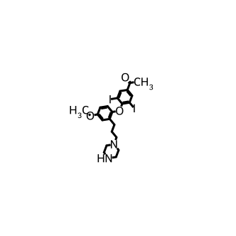 COc1ccc(Oc2c(I)cc(C(C)=O)cc2I)c(CCCN2CCNCC2)c1